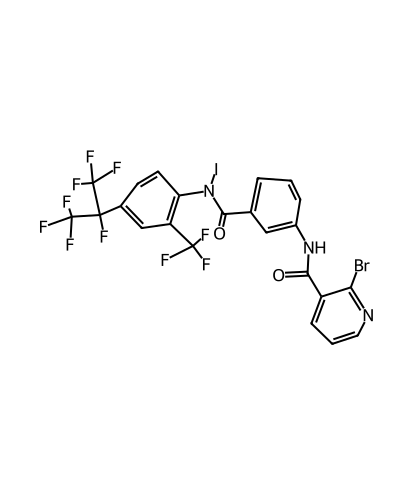 O=C(Nc1cccc(C(=O)N(I)c2ccc(C(F)(C(F)(F)F)C(F)(F)F)cc2C(F)(F)F)c1)c1cccnc1Br